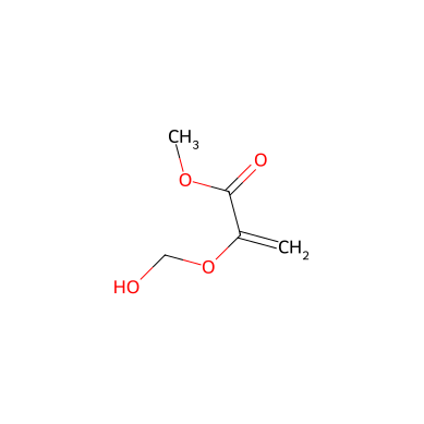 C=C(OCO)C(=O)OC